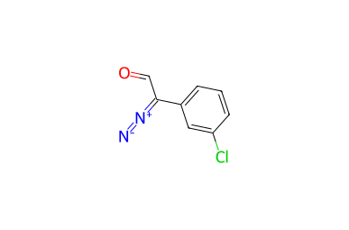 [N-]=[N+]=C(C=O)c1cccc(Cl)c1